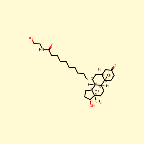 C[C@]12CCC(=O)C[C@@H]1C[C@@H](CCCCCCCCCC(=O)NCCO)[C@@H]1[C@@H]2CC[C@]2(C)[C@@H](O)CC[C@@H]12